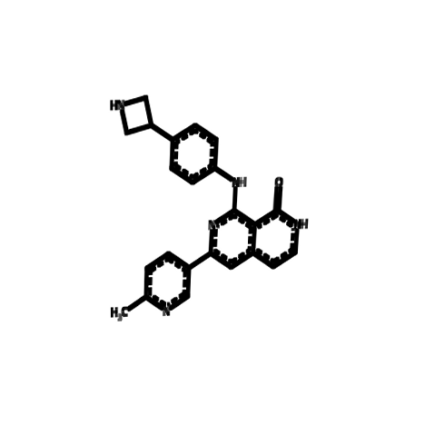 Cc1ccc(-c2cc3cc[nH]c(=O)c3c(Nc3ccc(C4CNC4)cc3)n2)cn1